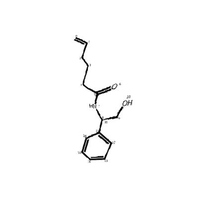 C=CCCCC(=O)N[C@@H](CO)c1ccccc1